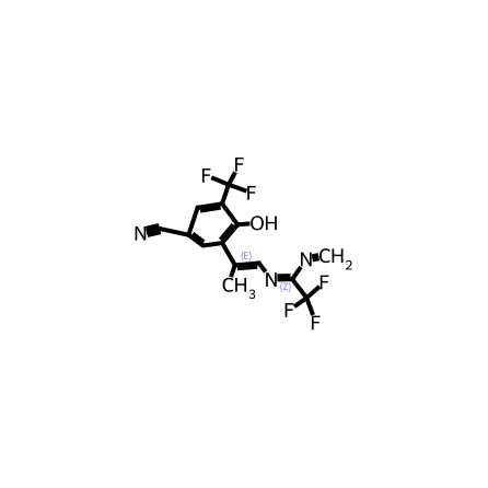 C=N/C(=N\C=C(/C)c1cc(C#N)cc(C(F)(F)F)c1O)C(F)(F)F